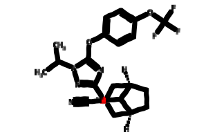 CC(C)n1nc(NC2[C@@H]3CC[C@H]2CN(C#N)C3)nc1Oc1ccc(OC(F)(F)F)cc1